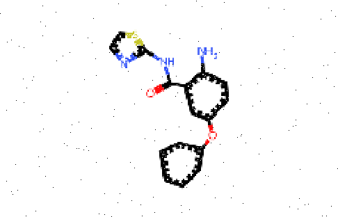 Nc1ccc(Oc2ccccc2)cc1C(=O)Nc1nccs1